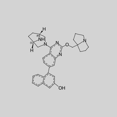 Oc1cc(-c2ccc3c(N4C[C@H]5CC[C@@H](C4)N5)nc(OCC45CCCN4CCC5)nc3c2)c2ccccc2c1